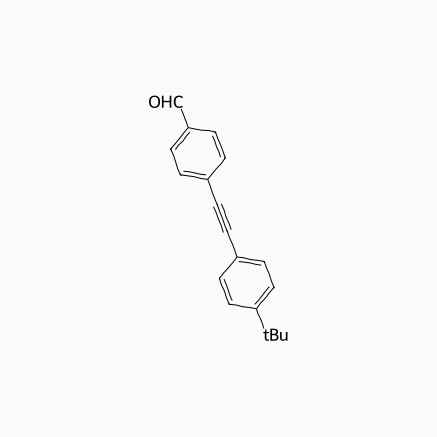 CC(C)(C)c1ccc(C#Cc2ccc(C=O)cc2)cc1